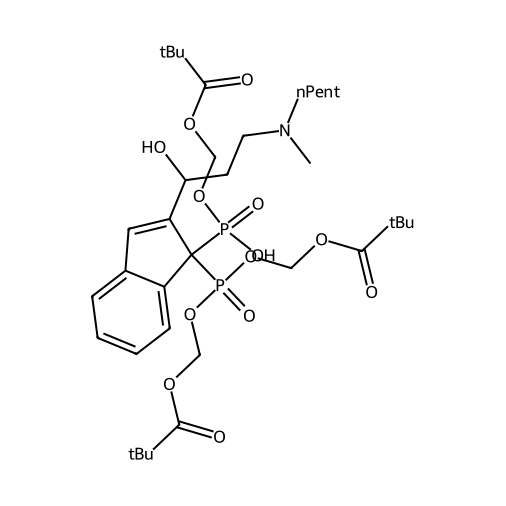 CCCCCN(C)CCC(O)C1=Cc2ccccc2C1(P(=O)(O)OCOC(=O)C(C)(C)C)P(=O)(OCOC(=O)C(C)(C)C)OCOC(=O)C(C)(C)C